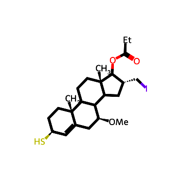 CCC(=O)OC1[C@H](CI)CC2C3C(CC[C@@]21C)[C@@]1(C)CC[C@H](S)C=C1C[C@@H]3OC